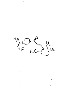 CC1=C(/C=C/C(=O)N2CCN(C(N)=O)[C@@H](C)C2)C(C)(C)CCC1